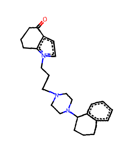 O=C1CCCc2c1ccn2CCCN1CCN(C2CCCc3ccccc32)CC1